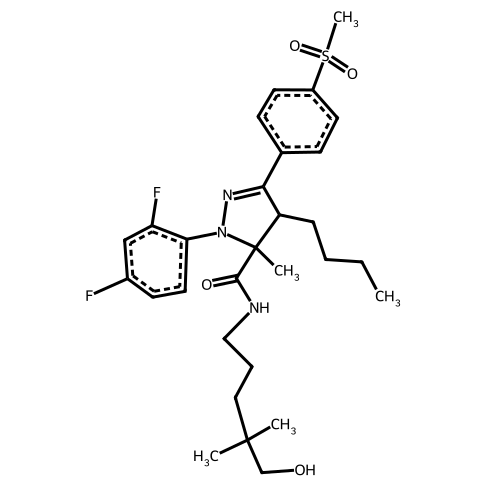 CCCCC1C(c2ccc(S(C)(=O)=O)cc2)=NN(c2ccc(F)cc2F)C1(C)C(=O)NCCCC(C)(C)CO